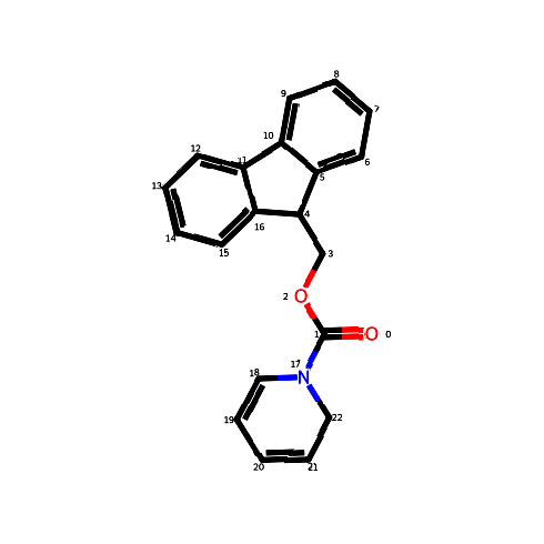 O=C(OCC1c2ccccc2-c2ccccc21)N1C=CC=CC1